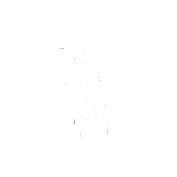 CC1(C)c2cccc(-c3ccc(-c4c5ccccc5c(-c5ccc6sc7ccccc7c6c5)c5ccccc45)cc3)c2-c2c1c1ccccc1c1ccccc21